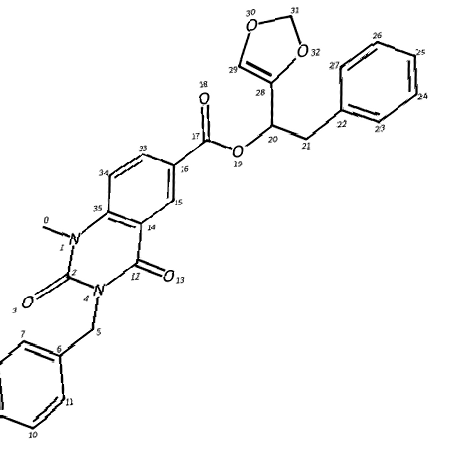 Cn1c(=O)n(Cc2ccccc2)c(=O)c2cc(C(=O)OC(Cc3ccccc3)C3=COCO3)ccc21